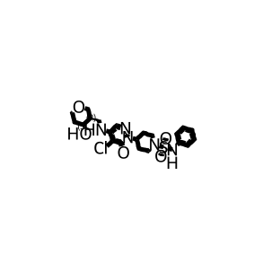 O=c1c(Cl)c(NC[C@@H]2COCC[C@@H]2O)cnn1C1CCN(S(=O)(=O)Nc2ccccc2)CC1